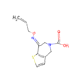 C=CCON=C1CN(C(=O)O)Cc2ccsc21